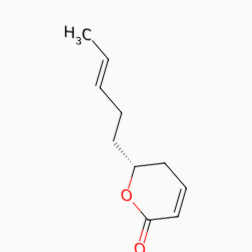 C/C=C/CC[C@@H]1CC=CC(=O)O1